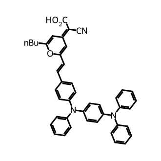 CCCCC1=C/C(=C(/C#N)C(=O)O)C=C(/C=C/c2ccc(N(c3ccccc3)c3ccc(N(c4ccccc4)c4ccccc4)cc3)cc2)O1